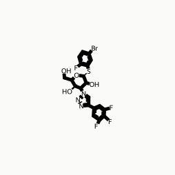 OCC1O[C@H](Sc2cc(Br)ccc2F)C(O)C(n2cc(-c3cc(F)c(F)c(F)c3)nn2)[C@H]1O